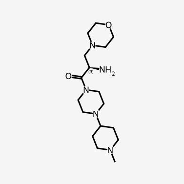 CN1CCC(N2CCN(C(=O)[C@H](N)CN3CCOCC3)CC2)CC1